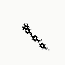 CC1C(C)(C)c2ccc(C=Cc3ccc(C(=O)Oc4ccc(N)cc4)cc3)cc2C1(C)C